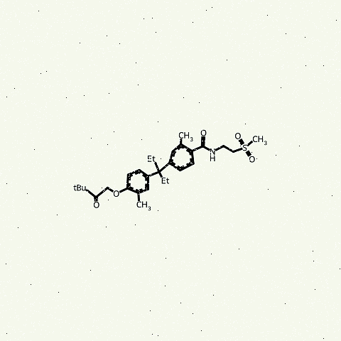 CCC(CC)(c1ccc(OCC(=O)C(C)(C)C)c(C)c1)c1ccc(C(=O)NCCS(C)(=O)=O)c(C)c1